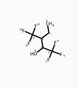 CCC(C(O)C(F)(F)F)C(F)(F)F